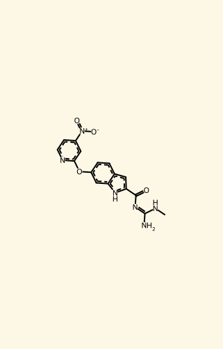 CNC(N)=NC(=O)c1cc2ccc(Oc3cc([N+](=O)[O-])ccn3)cc2[nH]1